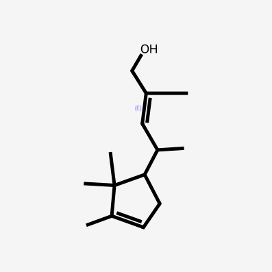 CC1=CCC(C(C)/C=C(\C)CO)C1(C)C